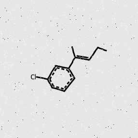 CC/C=C(\C)c1cccc(Cl)c1